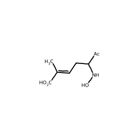 CC(=O)C(CC=C(C)C(=O)O)NO